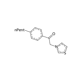 CCCCCc1ccc(C(=O)C[n+]2ccsc2)cc1